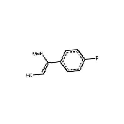 CN/C(=C\S)c1ccc(F)cc1